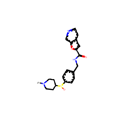 CC(C)N1CCC([S+]([O-])c2ccc(CNC(=O)c3cc4ccncc4o3)cc2)CC1